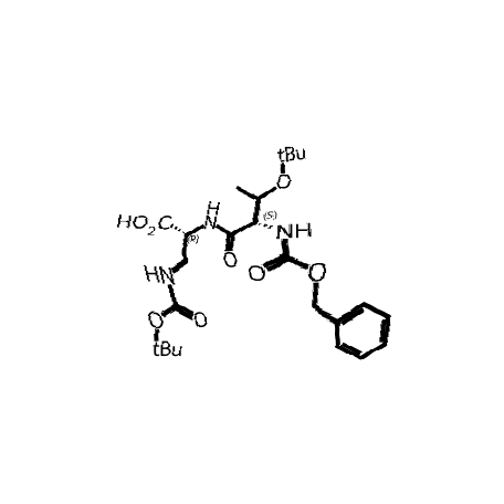 CC(OC(C)(C)C)[C@H](NC(=O)OCc1ccccc1)C(=O)N[C@H](CNC(=O)OC(C)(C)C)C(=O)O